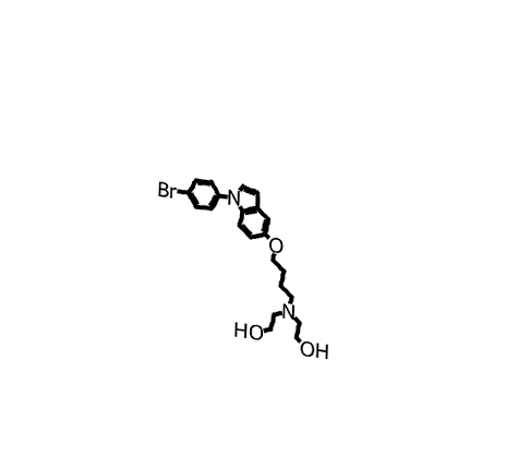 OCCN(CCO)CCCCOc1ccc2c(ccn2-c2ccc(Br)cc2)c1